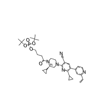 C=Cc1cc(-c2cc(C#N)c(N3CCN(C(=O)CCCOP(=O)(OC(C)(C)C)OC(C)(C)C)[C@H](C4CC4)C3)nc2C2CC2)ccn1